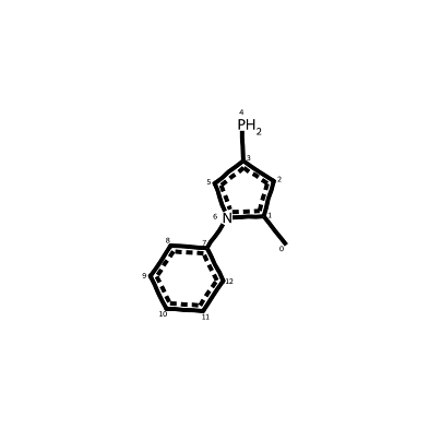 Cc1cc(P)cn1-c1ccccc1